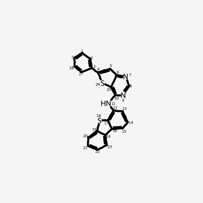 c1ccc(-c2cc3ncnc(Nc4cccc5c4sc4ccccc45)c3s2)cc1